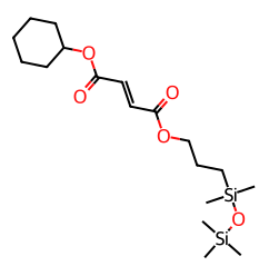 C[Si](C)(C)O[Si](C)(C)CCCOC(=O)C=CC(=O)OC1CCCCC1